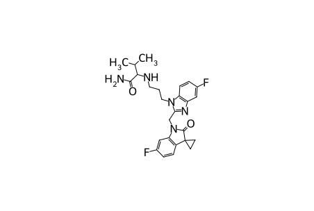 CC(C)C(NCCCn1c(CN2C(=O)C3(CC3)c3ccc(F)cc32)nc2cc(F)ccc21)C(N)=O